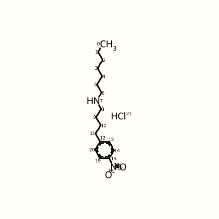 CCCCCCCNCCCCc1ccc([N+](=O)[O-])cc1.Cl